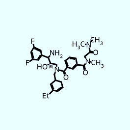 CCC1=CC(CN(C[C@@H](O)C(N)c2cc(F)cc(F)c2)C(=O)c2cccc(C(=O)N(C)CC(=O)N(C)C)c2)CC=C1